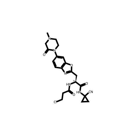 CN1CCN(c2ccc3nc(C[C@H](NC(=O)CCCl)C(=O)NC4(C#N)CC4)oc3c2)C(=O)C1